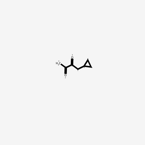 CC(=O)C(=O)CC1CC1